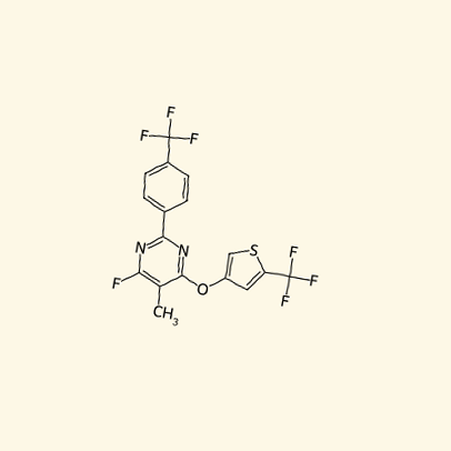 Cc1c(F)nc(-c2ccc(C(F)(F)F)cc2)nc1Oc1csc(C(F)(F)F)c1